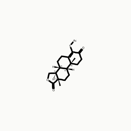 CC(=O)SC1=C2CC[C@@H]3[C@@H](CC[C@]4(C)C(=O)OC[C@@H]34)[C@@]2(C)CCC1=O